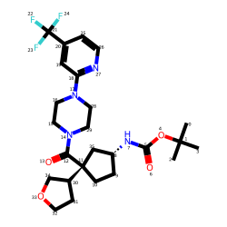 CC(C)(C)OC(=O)N[C@@H]1CC[C@@](C(=O)N2CCN(c3cc(C(F)(F)F)ccn3)CC2)(C2CCOC2)C1